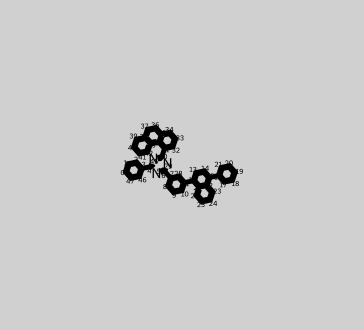 c1ccc(-c2nc(-c3cccc(-c4ccc(-c5ccccc5)c5ccccc45)c3)nc(-c3cccc4ccc5ccccc5c34)n2)cc1